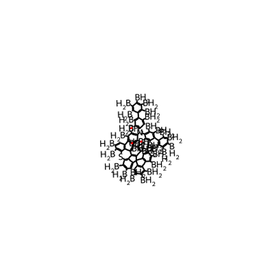 Bc1cc2c(c(B)c1B)-c1c(cc(B)c(B)c1B)C21c2c(B)c(B)c(B)c3c2-c2c(c(B)c(B)c(B)c21)-c1c(-c2c(B)c(B)c(N(c4cc(B)c(-c5c(B)c(B)c(B)c(B)c5B)c(B)c4B)c4c(B)c(B)c(-c5c(B)c(B)c(B)c(B)c5B)c(B)c4B)c(B)c2B)cc(B)c(B)c1S3